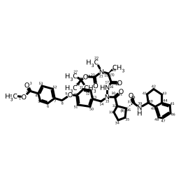 COC(=O)c1ccc(COc2ccc(CN(NC(=O)[C@H](C)N(C)C(=O)OC(C)(C)C)C(=O)C3CCC[C@H]3C(=O)NC3CCCc4ccccc43)cc2)cc1